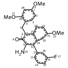 COc1ccc(Cn2c(=O)c(N)c(-c3cccc(F)c3)c3cc(OC)ccc32)c(OC)c1